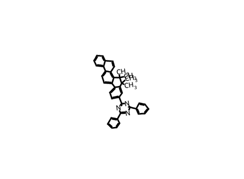 CC1(C)c2cc(-c3nc(-c4ccccc4)nc(-c4ccccc4)n3)ccc2-c2ccc3c(ccc4ccccc43)c2C1(C)C